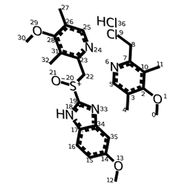 COc1c(C)cnc(CCl)c1C.COc1ccc2[nH]c([S+]([O-])Cc3ncc(C)c(OC)c3C)nc2c1.Cl